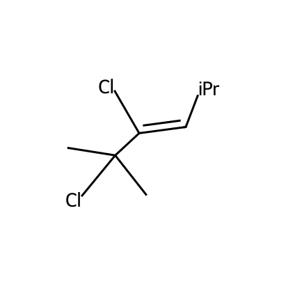 CC(C)C=C(Cl)C(C)(C)Cl